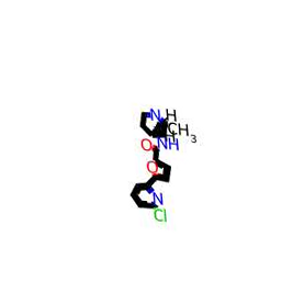 C[C@H]1[C@H](NC(=O)c2ccc(-c3cccc(Cl)n3)o2)C2CCN1CC2